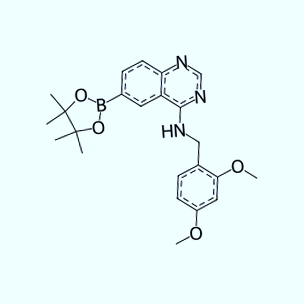 COc1ccc(CNc2ncnc3ccc(B4OC(C)(C)C(C)(C)O4)cc23)c(OC)c1